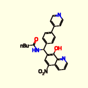 CCCCC(=O)NC(c1ccc(-c2ccncc2)cc1)c1cc([N+](=O)[O-])c2cccnc2c1O